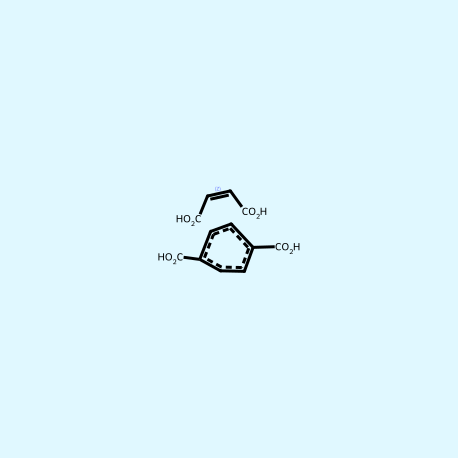 O=C(O)/C=C\C(=O)O.O=C(O)c1ccc(C(=O)O)cc1